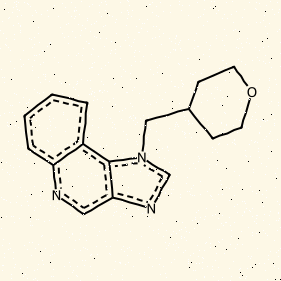 c1ccc2c(c1)ncc1ncn(CC3CCOCC3)c12